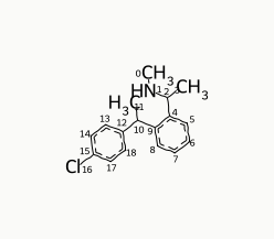 CNC(C)c1ccccc1C(C)c1ccc(Cl)cc1